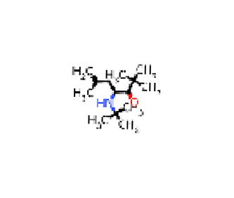 C=C(C)CC(NC(C)(C)C)C(=O)C(C)(C)C